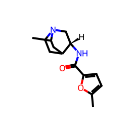 Cc1ccc(C(=O)N[C@H]2CN3CCC2CC3C)o1